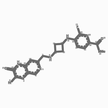 CCc1nc2cnc(CNC3CC(Nc4ccc(C(=O)NC)nc4F)C3)cc2[nH]c1=O